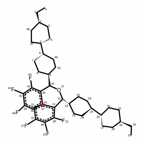 CC[C@H]1CC[C@H]([C@H]2CC[C@H](C(OC(c3ccc(F)c(F)c3F)[C@H]3CC[C@H]([C@H]4CC[C@H](CC)CC4)CC3)c3ccc(F)c(F)c3F)CC2)CC1